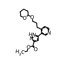 CCOC(=O)c1cc(-c2cnccc2CCCOC2CCCCO2)[nH]n1